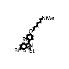 CCn1nc(-c2ccc(OCCCCCCNC)cc2F)c2ccc(Br)cc21